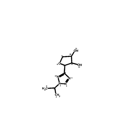 CC(C)n1nnc(C2OCC(O)C2O)n1